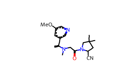 C=C(c1cncc(OC)c1)N(C)CC(=O)N1CC(C)(C)CC1C#N